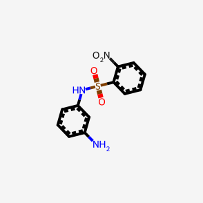 Nc1cccc(NS(=O)(=O)c2ccccc2[N+](=O)[O-])c1